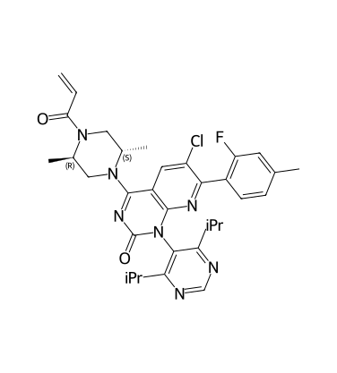 C=CC(=O)N1C[C@H](C)N(c2nc(=O)n(-c3c(C(C)C)ncnc3C(C)C)c3nc(-c4ccc(C)cc4F)c(Cl)cc23)C[C@H]1C